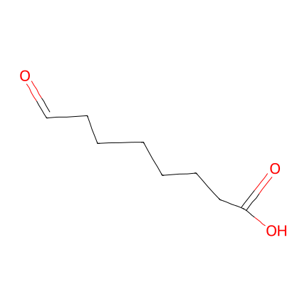 O=CCCCCCCC(=O)O